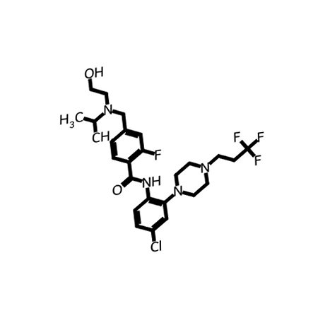 CC(C)N(CCO)Cc1ccc(C(=O)Nc2ccc(Cl)cc2N2CCN(CCC(F)(F)F)CC2)c(F)c1